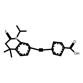 CC(C)N1C(=S)CC(C)(C)c2ccc(C#Cc3ccc(C(=O)O)cc3)cc21